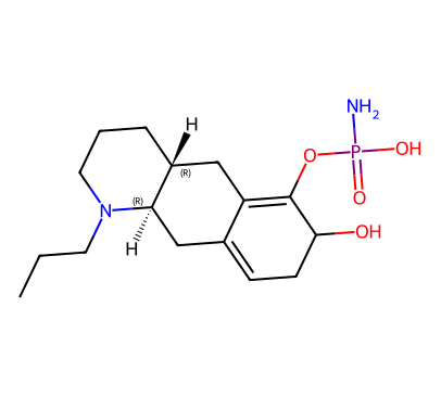 CCCN1CCC[C@@H]2CC3=C(OP(N)(=O)O)C(O)CC=C3C[C@H]21